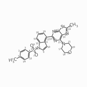 Cc1ccc(S(=O)(=O)n2ccc3c(-c4nc(N5CCOCC5)c5nc(C)sc5n4)cccc32)cc1